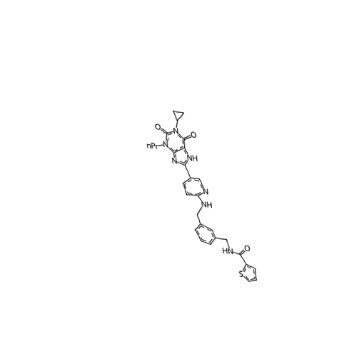 CCCn1c(=O)n(C2CC2)c(=O)c2[nH]c(-c3ccc(NCc4cccc(CNC(=O)c5cccs5)c4)nc3)nc21